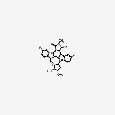 CC(=O)O[C@H]1CC(n2c3ccc(F)cc3c3c4c(c5c6cc(F)ccc6[nH]c5c32)C(=O)N(C)C4=O)[C@H](O)[C@@H]1O